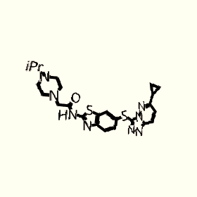 CC(C)N1CCN(CC(=O)Nc2nc3ccc(Sc4nnc5ccc(C6CC6)nn45)cc3s2)CC1